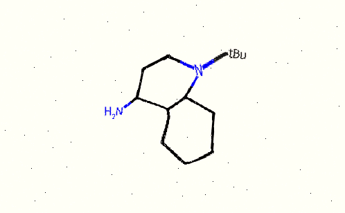 CC(C)(C)N1CCC(N)C2CCCCC21